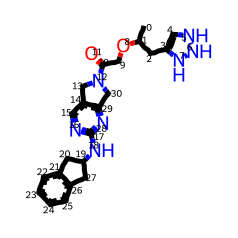 CC(CC1=CNNN1)OCC(=O)N1Cc2cnc(NC3Cc4ccccc4C3)nc2C1